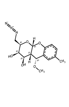 CO[C@H]1c2cc(C)ccc2O[C@H]2O[C@H](CN=[N+]=[N-])[C@H](O)[C@H](O)[C@H]21